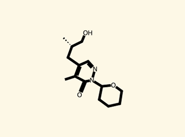 Cc1c(C[C@H](C)CO)cnn(C2CCCCO2)c1=O